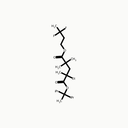 CCC(C)(CC(C)(C)C(=O)OCCC(C)(F)F)C(=O)OC(C)(C(C)C)C(C)C